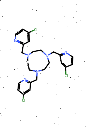 Clc1ccnc(CN2CCN(Cc3cc(Cl)ccn3)CCN(Cc3cc(Cl)ccn3)CC2)c1